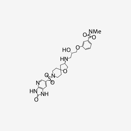 CNS(=O)(=O)c1cccc(OC[C@@H](O)CN[C@H]2COC3(CCN(S(=O)(=O)c4cnc5[nH]c(=O)[nH]c5c4)CC3)C2)c1